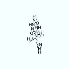 C[C@@]1(NC(=O)[C@H](N)CCc2c[nH]cn2)CNC(NC(N)=O)=NC1=O